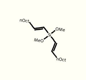 CCCCCCCC/C=C/[Si](/C=C/CCCCCCCC)(OC)OC